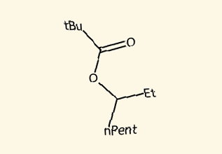 CCCCCC(CC)OC(=O)C(C)(C)C